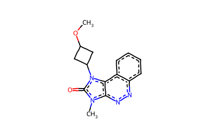 COC1CC(n2c(=O)n(C)c3nnc4ccccc4c32)C1